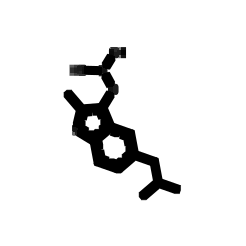 Cc1sc2ccc(CC(C)C)cc2c1OB(O)O